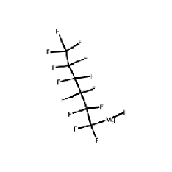 FC(F)(F)C(F)(F)C(F)(F)C(F)(F)C(F)(F)[C](F)(F)[Mg][I]